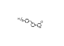 COc1ccc(CN2CC=CN(c3cncc(Cl)c3)C2)cc1